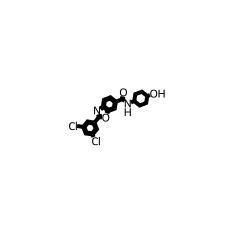 O=C(NC1CCC(O)CC1)c1ccc2nc(-c3cc(Cl)cc(Cl)c3)oc2c1